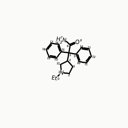 CCN1CCC(C(C(N)=O)(c2ccccc2)c2ccccc2)C1